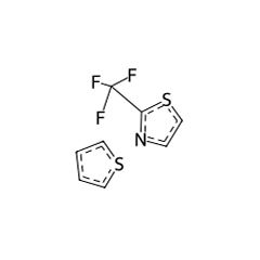 FC(F)(F)c1nccs1.c1ccsc1